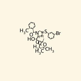 Cc1ccccc1C(=O)N1C[C@H](Sc2cccc(Br)c2)[C@H](CC(=O)OC(C)(C)C)[C@H]1C(=O)O